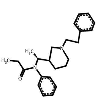 CCC(=O)N(c1ccccc1)[C@@H](C)C1CCCN(CCc2ccccc2)C1